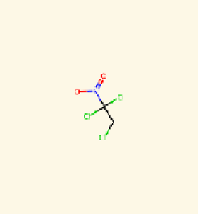 O=[N+]([O-])C(Cl)(Cl)CCl